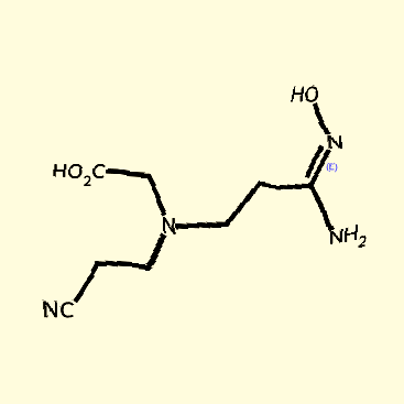 N#CCCN(CC/C(N)=N\O)CC(=O)O